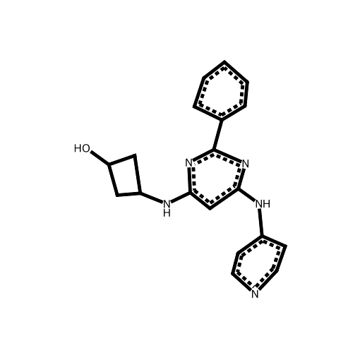 OC1CC(Nc2cc(Nc3ccncc3)nc(-c3ccccc3)n2)C1